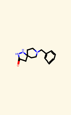 O=C1CC2(CCN(Cc3ccccc3)CC2)NN1